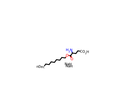 CCCCCCCCCCCCCCCCCCOC(=O)C(N)CCC(=O)O.[NaH].[NaH]